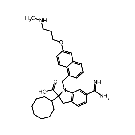 CNCCCOc1ccc2c(CN3c4cc(C(=N)N)ccc4CC3(C(=O)O)C3CCCCCCC3)cccc2c1